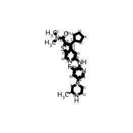 C[C@H]1CN(c2cnc(Nc3cc4c(C5CCCC5)c(C(=O)N(C)C)sc4cn3)c(F)c2)CCN1